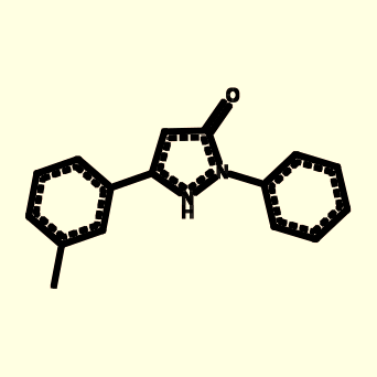 Cc1cccc(-c2cc(=O)n(-c3ccccc3)[nH]2)c1